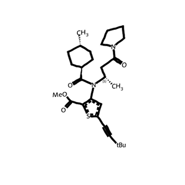 COC(=O)c1sc(C#CC(C)(C)C)cc1N(C(=O)[C@H]1CC[C@H](C)CC1)[C@@H](C)CC(=O)N1CCCC1